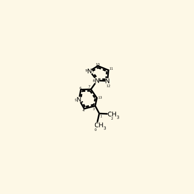 CC(C)c1cncc(-n2nccn2)c1